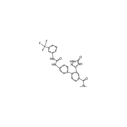 CN(C)C(=O)c1ccc(-c2ccc(NC(=O)Nc3cccc(C(F)(F)F)c3)cc2)c(-c2n[nH]c(=O)[nH]2)c1